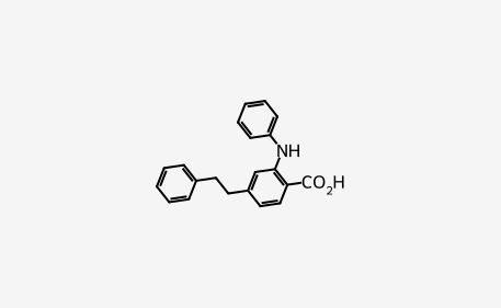 O=C(O)c1ccc(CCc2ccccc2)cc1Nc1ccccc1